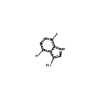 Cc1c[nH]c2c(Cl)ccc(Br)c12